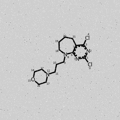 Clc1nc(Cl)c2c(n1)N(CCCN1CCOCC1)CCCC2